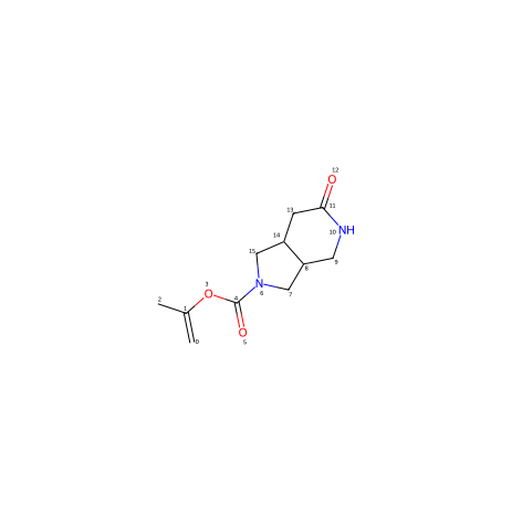 C=C(C)OC(=O)N1CC2CNC(=O)CC2C1